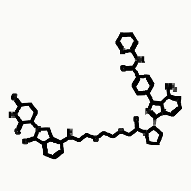 Nc1nccn2c([C@@H]3CCCN3C(=O)COCCOCCNc3cccc4c3CN(C3CCC(=O)NC3=O)C4=O)nc(-c3ccc(C(=O)Nc4ccccn4)cc3)c12